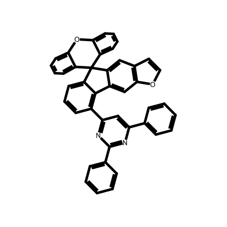 c1ccc(-c2cc(-c3cccc4c3-c3cc5occc5cc3C43c4ccccc4Oc4ccccc43)nc(-c3ccccc3)n2)cc1